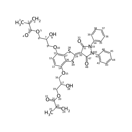 C=C(C)C(=O)OCC(O)COc1ccc(OCC(O)COC(=O)C(=C)C)c2c1SC(=C1C(=O)N(c3ccccc3)N(c3ccccc3)C1=O)S2